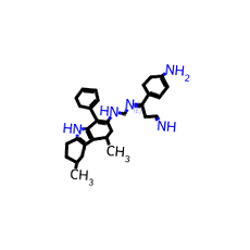 CC1CCc2[nH]c3c(c2C1)C(C)CC(NC/N=C(\CC=N)C1=CC=C(N)CC1)=C3C1=CC=CCC1